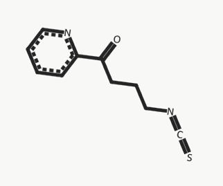 O=C(CCCN=C=S)c1ccccn1